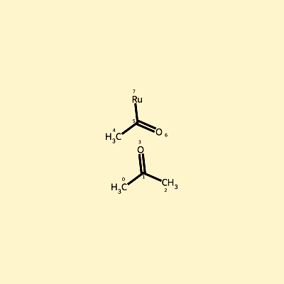 CC(C)=O.C[C](=O)[Ru]